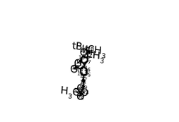 CC(C)(C)[Si](C)(C)Oc1ccc2c(c1)oc(=O)c1cc(C#CCOS(C)(=O)=O)ccc12